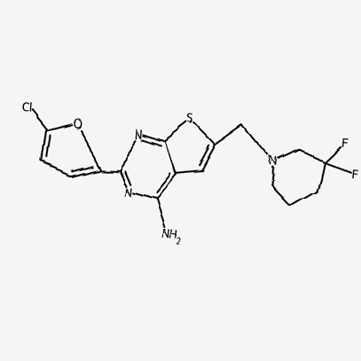 Nc1nc(-c2ccc(Cl)o2)nc2sc(CN3CCCC(F)(F)C3)cc12